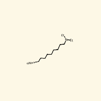 [CH2]CN(C[CH2])CCCCCCCCCCCCCCCCCC